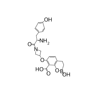 N[C@H](Cc1ccc(O)cc1)C(=O)N1CC(Oc2ccc3c(c2C(=O)O)OB(O)CC3)C1